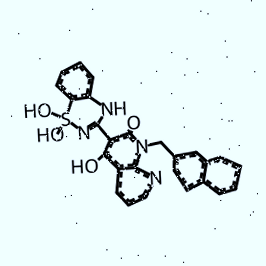 O=c1c(C2=NS(O)(O)c3ccccc3N2)c(O)c2cccnc2n1Cc1ccc2ccccc2c1